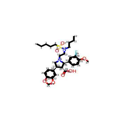 CCCCCS(=O)(=O)N(CCCC)CCN1C[C@H](c2ccc3c(c2)OCO3)[C@@H](C(=O)O)[C@@H]1c1ccc(OC)c(F)c1